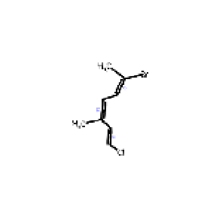 CC(=C/C=C(\C)Br)/C=C/Cl